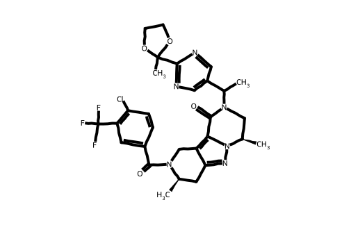 CC(c1cnc(C2(C)OCCO2)nc1)N1C[C@@H](C)n2nc3c(c2C1=O)CN(C(=O)c1ccc(Cl)c(C(F)(F)F)c1)[C@H](C)C3